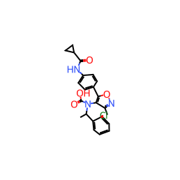 Cc1noc(-c2ccc(NC(=O)C3CC3)cc2)c1N(C(=O)O)C(C)c1ccccc1Cl